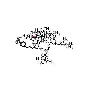 CC(C)(C)OC(=O)CN1CCN(CCN(CC(=O)OC(C)(C)C)CC(=O)OC(C)(C)C)CCN(CC(=O)OC(C)(C)C)CCN(CC(CCCc2ccc([N+](=O)[O-])cc2)N(CC(=O)OC(C)(C)C)CC(=O)OC(C)(C)C)CC1